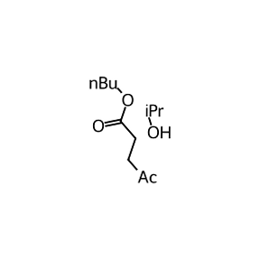 CC(C)O.CCCCOC(=O)CCC(C)=O